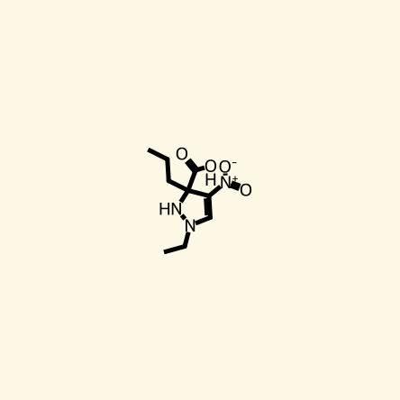 CCCC1(C(=O)O)NN(CC)C=C1[N+](=O)[O-]